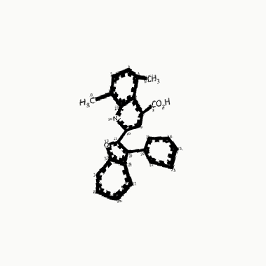 Cc1ccc(C)c2c(C(=O)O)cc(-c3oc4ccccc4c3-c3ccccc3)nc12